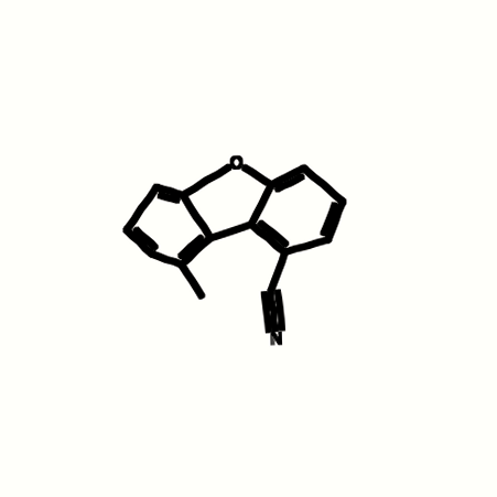 Cc1cccc2oc3cccc(C#N)c3c12